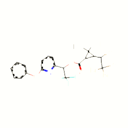 CC1(C)C(C(=O)OC(c2cccc(Oc3ccccc3)n2)C(F)(F)F)C1C(Br)C(Br)(Br)Br